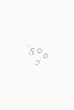 Cc1ncc(COc2cc(F)cc(Oc3ccc(-n4cc([C@H]5C[C@@H](O)C5)c5ncnc(N)c54)cc3)c2)cn1